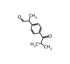 CC(C)C(=O)c1ccc(C(C)C=O)cc1